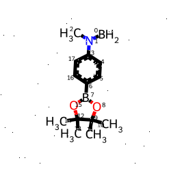 BN(C)c1ccc(B2OC(C)(C)C(C)(C)O2)cc1